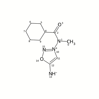 CN(C(=O)C1CCCCC1)[n+]1cc([NH-])on1